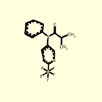 CC(C)C(=O)N(c1ccccc1)c1ccc(S(F)(F)(F)(F)F)nc1